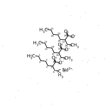 CCCCCC(CC)C(=O)[O-].CCCCCC(CC)C(=O)[O-].CCCCCC(CC)C(=O)[O-].[Nd+3]